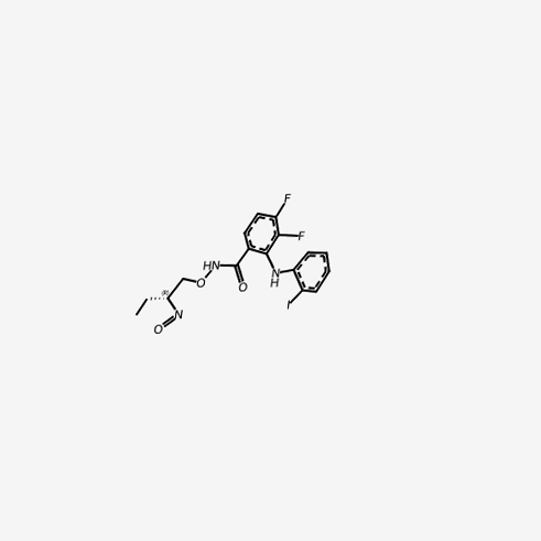 CC[C@H](CONC(=O)c1ccc(F)c(F)c1Nc1ccccc1I)N=O